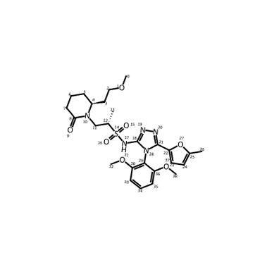 COCC[C@@H]1CCCC(=O)N1C[C@H](C)S(=O)(=O)Nc1nnc(-c2ccc(C)o2)n1-c1c(OC)cccc1OC